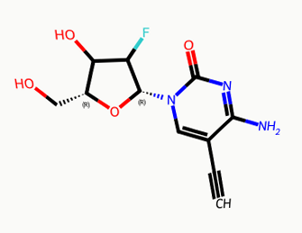 C#Cc1cn([C@@H]2O[C@H](CO)C(O)C2F)c(=O)nc1N